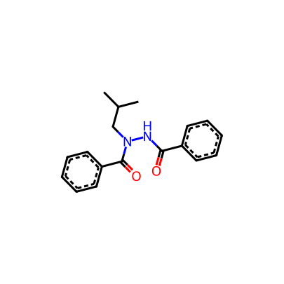 CC(C)CN(NC(=O)c1ccccc1)C(=O)c1ccccc1